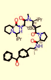 C/C(=C\[C@H](C(C)C)N(C)C(=O)[C@@H](NC(=O)[C@H]1CCCCN1C(C)C(C)C)C(C)(C)C)C(=O)N1CCC[C@H]1C(=O)N[C@H](C)Cc1ccc(C(=O)c2ccccc2)cc1